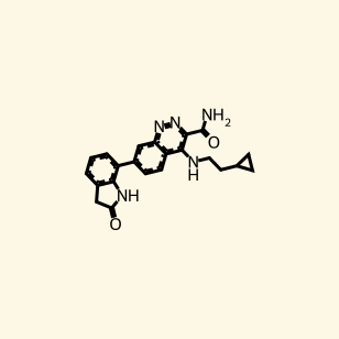 NC(=O)c1nnc2cc(-c3cccc4c3NC(=O)C4)ccc2c1NCCC1CC1